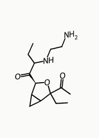 CCC(NCCN)C(=O)[C@H]1OC(CC)(C(C)=O)C2CC21